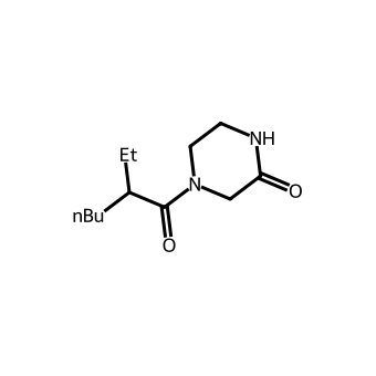 CCCCC(CC)C(=O)N1CCNC(=O)C1